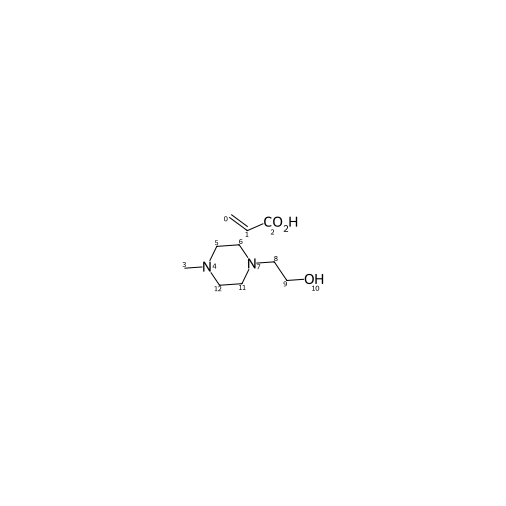 C=CC(=O)O.CN1CCN(CCO)CC1